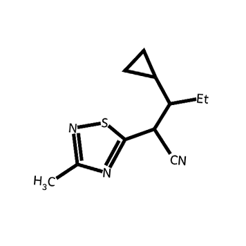 CCC(C1CC1)C(C#N)c1nc(C)ns1